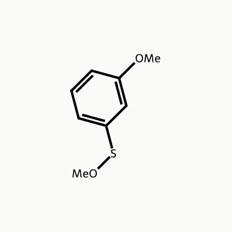 COSc1cccc(OC)c1